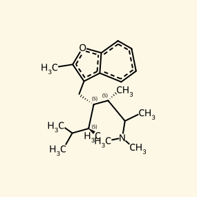 Cc1oc2ccccc2c1C[C@H]([C@H](C)C(C)N(C)C)[C@@H](C)C(C)C